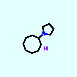 C1CCCC(N2CCCC2)CCC1.I